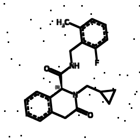 Cc1cccc(F)c1CNC(=O)[C@@H]1c2ccccc2CC(=O)N1CC1CC1